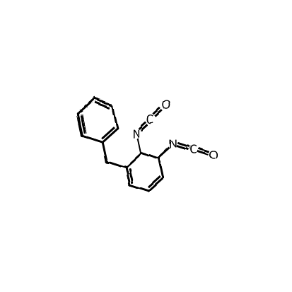 O=C=NC1C=CC=C(Cc2ccccc2)C1N=C=O